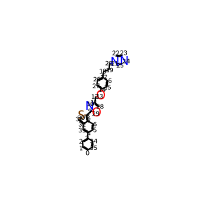 c1ccc(-c2ccc3c(-c4nc(COc5ccc(CCCn6ccnc6)cc5)co4)scc3c2)cc1